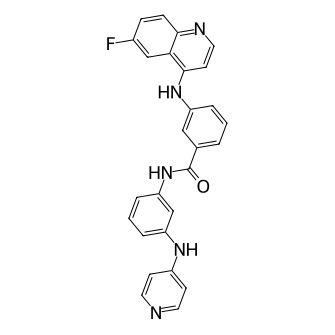 O=C(Nc1cccc(Nc2ccncc2)c1)c1cccc(Nc2ccnc3ccc(F)cc23)c1